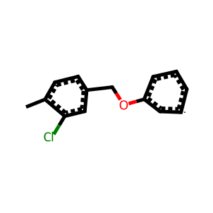 Cc1ccc(COc2c[c]ccc2)cc1Cl